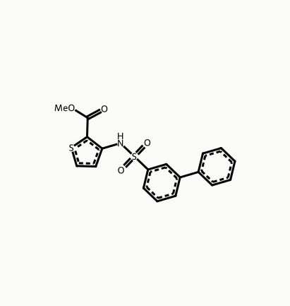 COC(=O)c1sccc1NS(=O)(=O)c1cccc(-c2ccccc2)c1